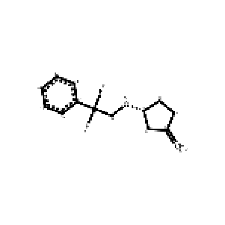 C=C1CC[C@@H](OCC(F)(F)c2ccccc2)C1